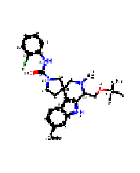 COc1ccc2c3c([nH]c2c1)C(CO[Si](C)(C)C(C)(C)C)N(C(C)=O)CC31CCN(C(=O)Nc2ccccc2F)C1